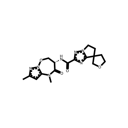 Cc1cc2n(n1)OC[C@H](NC(=O)c1nc3n(n1)CCC31CCOC1)C(=O)N2C